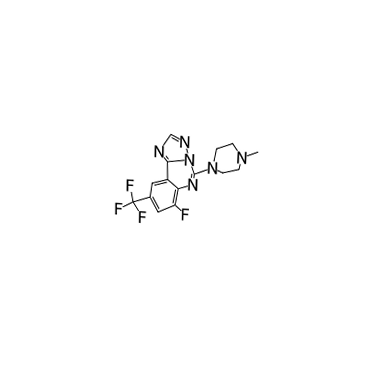 CN1CCN(c2nc3c(F)cc(C(F)(F)F)cc3c3ncnn23)CC1